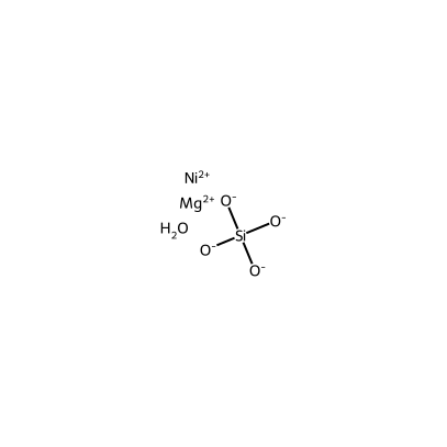 O.[Mg+2].[Ni+2].[O-][Si]([O-])([O-])[O-]